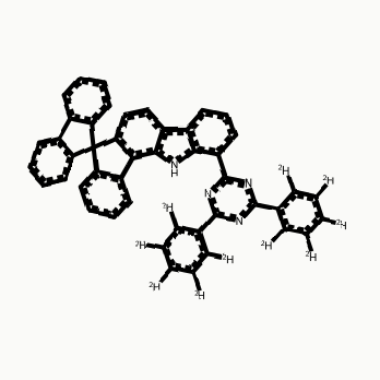 [2H]c1c([2H])c([2H])c(-c2nc(-c3c([2H])c([2H])c([2H])c([2H])c3[2H])nc(-c3cccc4c3[nH]c3c5c(ccc34)C3(c4ccccc4-c4ccccc43)c3ccccc3-5)n2)c([2H])c1[2H]